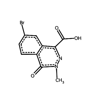 Cn1nc(C(=O)O)c2cc(Br)ccc2c1=O